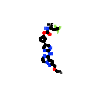 COCc1cc2c(Nc3ncc([C@@H]4CC[C@H](OC(=O)N[C@@H](C)CC(F)(F)F)C4)cn3)nccn2n1